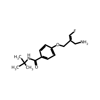 CC(C)(C)NC(=O)c1ccc(OCC(=CF)CN)cc1